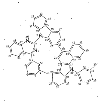 Cc1cccc(-c2nc(-n3c4ccccc4c4ccc(-c5cc6c7ccccc7n(-c7cccc(C)c7)c6c6ccccc56)cc43)nc3ccccc23)c1